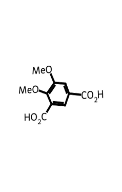 COc1cc(C(=O)O)cc(C(=O)O)c1OC